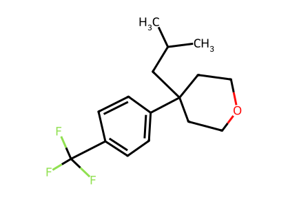 CC(C)CC1(c2ccc(C(F)(F)F)cc2)CCOCC1